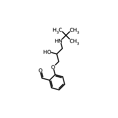 CC(C)(C)NCC(O)COc1ccccc1C=O